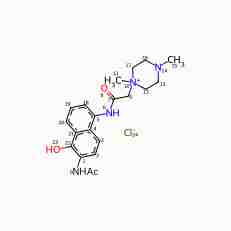 CC(=O)Nc1ccc2c(NC(=O)C[N+]3(C)CCN(C)CC3)cccc2c1O.[Cl-]